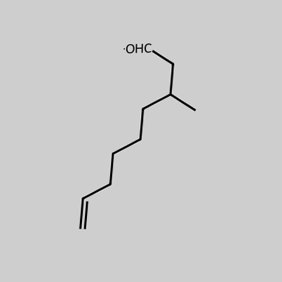 C=CCCCCC(C)C[C]=O